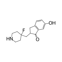 O=C1c2cc(O)ccc2CC1CC1(F)CCNCC1